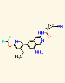 CCc1cc(OC(F)F)ncc1-c1cc(N)c2cnc(NC(=O)[C@@H]3C[C@H]3C#N)cc2c1